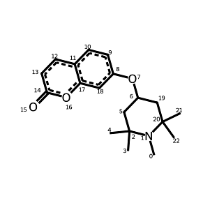 CN1C(C)(C)CC(Oc2ccc3ccc(=O)oc3c2)CC1(C)C